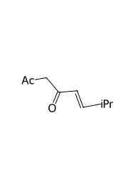 CC(=O)CC(=O)/C=C/C(C)C